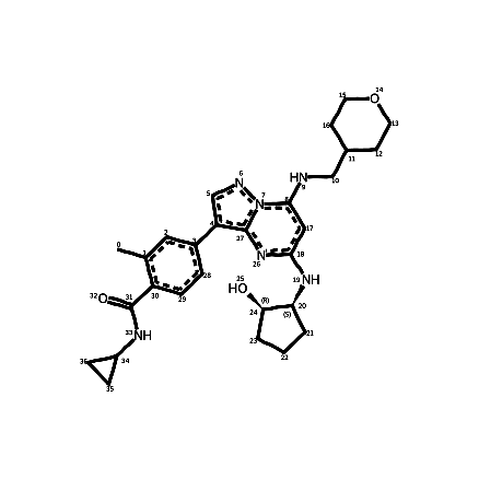 Cc1cc(-c2cnn3c(NCC4CCOCC4)cc(N[C@H]4CCC[C@H]4O)nc23)ccc1C(=O)NC1CC1